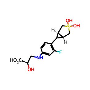 O=C(O)[C@H](O)CNc1ccc(C2[C@H]3CS(O)(O)C[C@@H]23)c(F)c1